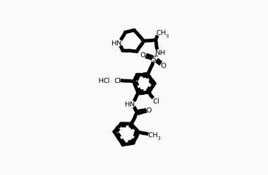 Cc1ccccc1C(=O)Nc1c(Cl)cc(S(=O)(=O)NC(C)C2CCNCC2)cc1Cl.Cl